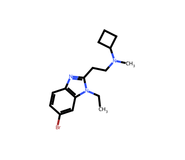 CCn1c(CCN(C)C2CCC2)nc2ccc(Br)cc21